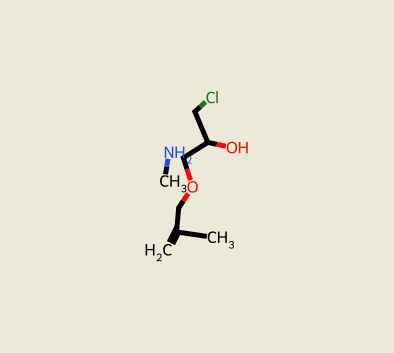 C=C(C)COCC(O)CCl.CN